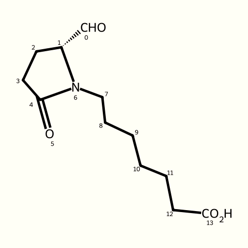 O=C[C@H]1CCC(=O)N1CCCCCCC(=O)O